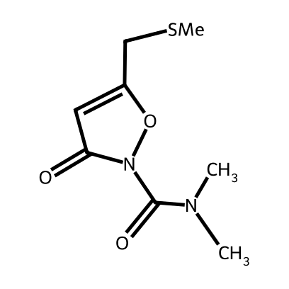 CSCc1cc(=O)n(C(=O)N(C)C)o1